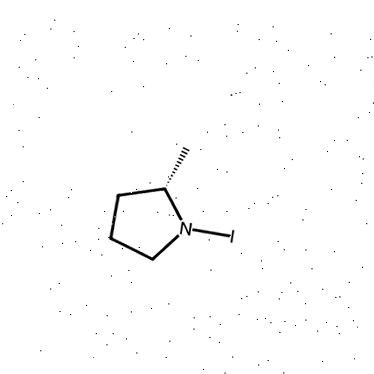 C[C@H]1CCCN1I